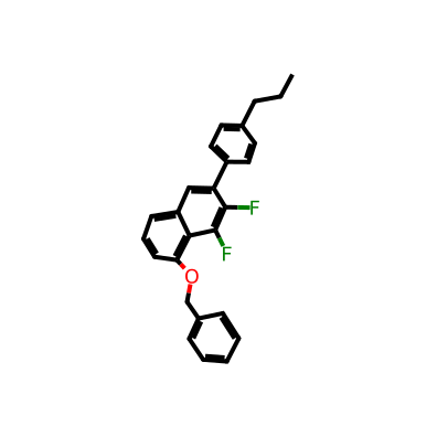 CCCc1ccc(-c2cc3cccc(OCc4ccccc4)c3c(F)c2F)cc1